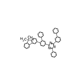 CC1(C)c2ccccc2-c2cc(-c3ccc(-c4nc(-c5ccccc5)nc(-c5cccc(-c6ccccc6)c5)n4)cc3-c3ccccc3)ccc21